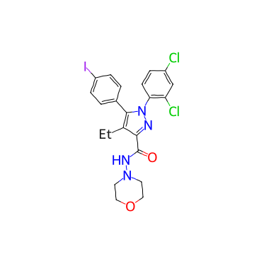 CCc1c(C(=O)NN2CCOCC2)nn(-c2ccc(Cl)cc2Cl)c1-c1ccc(I)cc1